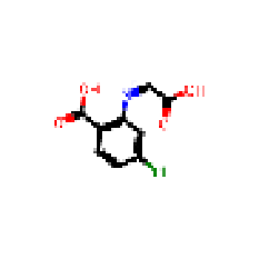 O=C(O)/C=N\c1cc(Cl)ccc1C(=O)O